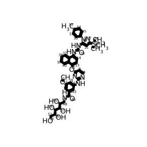 COc1cc(Nc2nccc(Oc3ccc(NC(=O)Nc4cc(S(C)(C)C)nn4-c4ccc(C)cc4)c4ccccc34)n2)cc(C(=O)NC[C@H](O)[C@@H](O)[C@H](O)[C@H](O)CO)c1